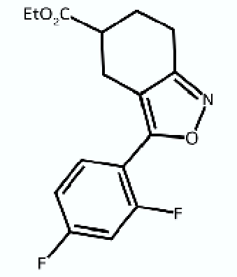 CCOC(=O)C1CCc2noc(-c3ccc(F)cc3F)c2C1